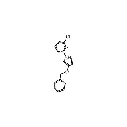 Clc1[c]c([SH]2C=CC(OCc3ccccc3)=C2)ccc1